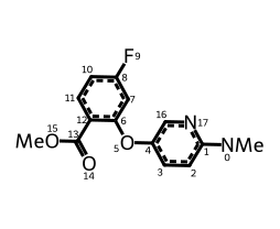 CNc1ccc(Oc2cc(F)ccc2C(=O)OC)cn1